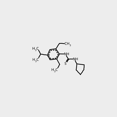 CCc1cc(C(C)C)cc(CC)c1NC(=S)NC1CCCC1